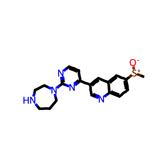 C[S+]([O-])c1ccc2ncc(-c3ccnc(N4CCCNCC4)n3)cc2c1